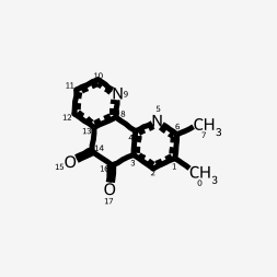 Cc1cc2c(nc1C)-c1ncccc1C(=O)C2=O